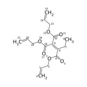 C=CCOC(=O)C(CC)=C(C(=O)OCC=C)C(=O)OCC=C